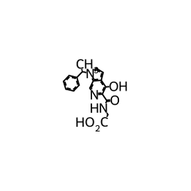 C[C@H](c1ccccc1)n1ccc2c(O)c(C(=O)NCC(=O)O)ncc21